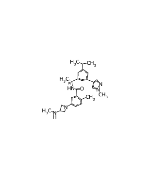 CNC1CN(c2ccc(C)c(C(=O)N[C@H](C)c3cc(-c4cnn(C)c4)cc(C(C)C)c3)c2)C1